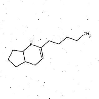 CCCCCC1=CCC2CCCC2P1